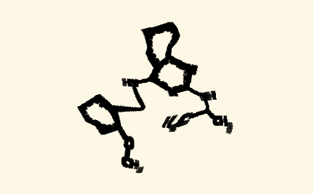 COc1ccccc1CNc1nc(NC(C)C)nc2ccccc12